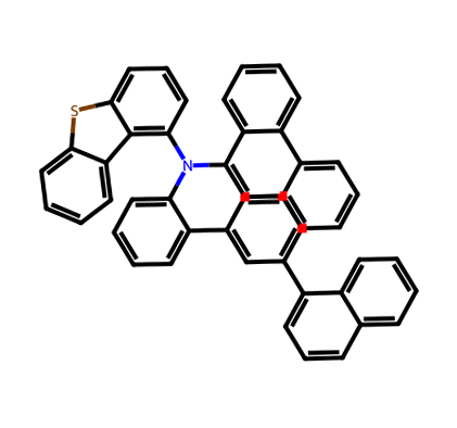 c1cc(-c2ccccc2N(c2cc3ccccc3c3ccccc23)c2cccc3sc4ccccc4c23)cc(-c2cccc3ccccc23)c1